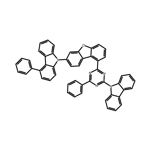 c1ccc(-c2nc(-c3cccc4oc5cc(-n6c7ccccc7c7c(-c8ccccc8)cccc76)ccc5c34)nc(-n3c4ccccc4c4ccccc43)n2)cc1